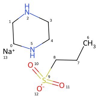 C1CNCCN1.CCCS(=O)(=O)[O-].[Na+]